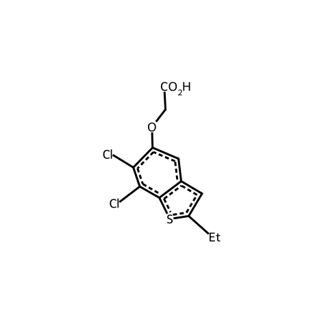 CCc1cc2cc(OCC(=O)O)c(Cl)c(Cl)c2s1